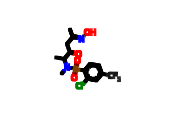 CC(CC(=O)C(C)N(C)S(=O)(=O)c1ccc(C(F)(F)F)cc1Cl)=NO